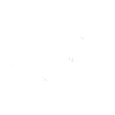 CSc1ccc(C(CC2CCOCC2)c2ccc(-c3ccc(Cl)cn3)[nH]2)nc1